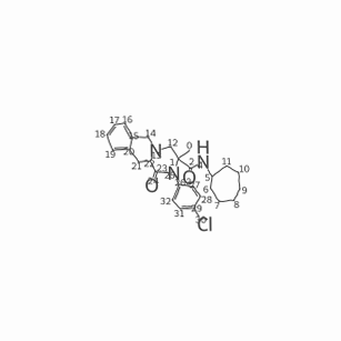 CC1(C(=O)NC2CCCCCC2)CN2Cc3ccccc3CC2C(=O)N1c1ccc(Cl)cc1